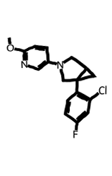 COc1ccc(N2CC3CC3(c3ccc(F)cc3Cl)C2)cn1